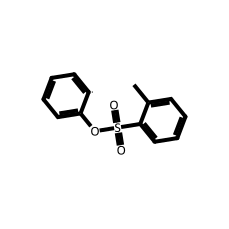 Cc1ccccc1S(=O)(=O)Oc1[c]cccc1